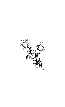 CS(=O)(=O)Oc1cc(=O)c(OCc2ccccc2)cn1Cc1ccccc1